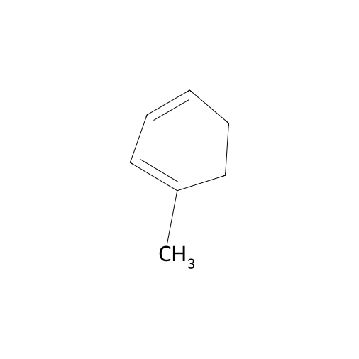 CC1=CC=CCC1